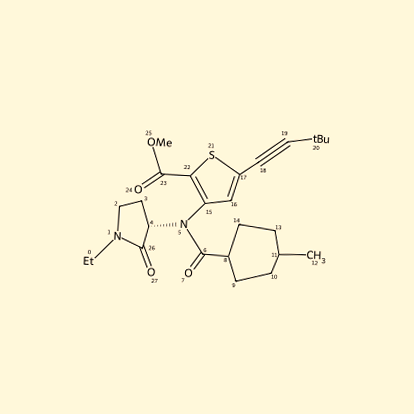 CCN1CC[C@H](N(C(=O)C2CCC(C)CC2)c2cc(C#CC(C)(C)C)sc2C(=O)OC)C1=O